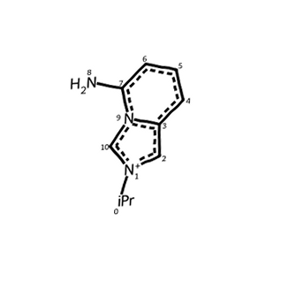 CC(C)[n+]1cc2cccc(N)n2c1